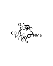 CN[C@@H](CCOc1ccc([N+](=O)[O-])cc1)c1ccc(OC(=O)N(C)C)cc1.O=C(O)C=CC(=O)O